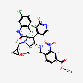 COC(=O)c1ccc(CN[C@@H]2[C@H](CO)N(CC3CC3)[C@]3(Cc4ccc(Cl)cc4NC3=O)[C@H]2c2ccnc(Br)c2F)c([N+](=O)[O-])c1